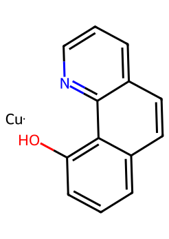 Oc1cccc2ccc3cccnc3c12.[Cu]